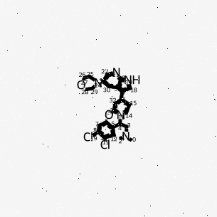 CN(C)CC(c1ccc(Cl)c(Cl)c1)n1ccc(-c2c[nH]c3ncc(N4CCOCC4)cc23)cc1=O